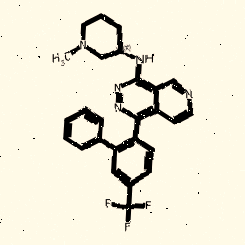 CN1CCC[C@@H](Nc2nnc(-c3ccc(C(F)(F)F)cc3-c3ccccc3)c3ccncc23)C1